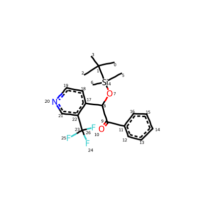 CC(C)(C)[Si](C)(C)OC(C(=O)c1ccccc1)c1ccncc1C(F)(F)F